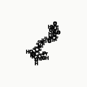 CC(C)c1cc(-c2nnc(O)n2-c2ccc(N3CCN(CCCC(=O)Nc4cccc5c4CN([C@@H]4CCC(=O)NC4=O)C5=O)CC3)cc2)c(O)cc1O